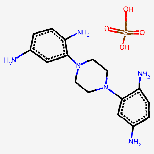 Nc1ccc(N)c(N2CCN(c3cc(N)ccc3N)CC2)c1.O=S(=O)(O)O